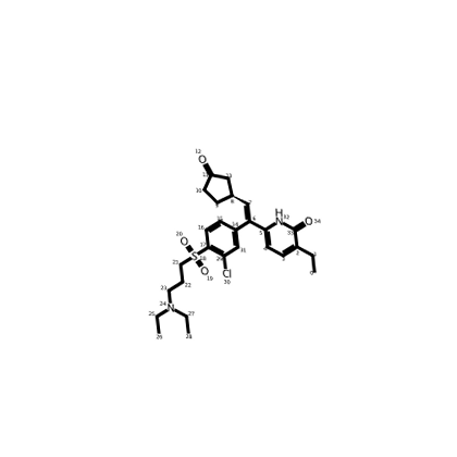 CCc1ccc(C(=C[C@H]2CCC(=O)C2)c2ccc(S(=O)(=O)CCCN(CC)CC)c(Cl)c2)[nH]c1=O